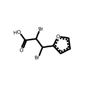 O=C(O)C(Br)C(Br)c1ccco1